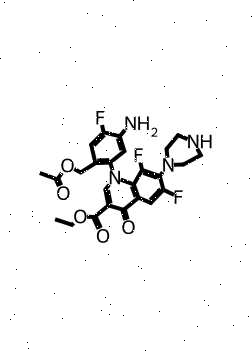 CCOC(=O)c1cn(-c2cc(N)c(F)cc2COC(C)=O)c2c(F)c(N3CCNCC3)c(F)cc2c1=O